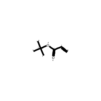 [CH2]C(C)(C)OC(=O)C=C